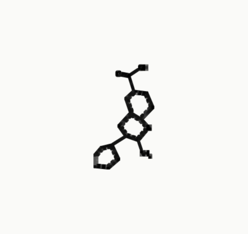 Nc1nc2ccc(C(=O)O)cc2cc1-c1ccccc1